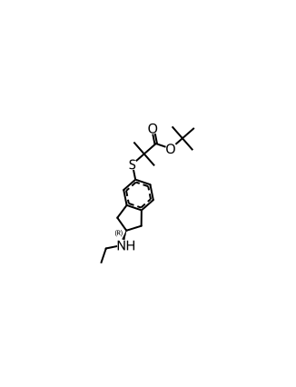 CCN[C@@H]1Cc2ccc(SC(C)(C)C(=O)OC(C)(C)C)cc2C1